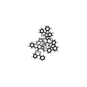 O=C(OC(c1ccccc1)c1ccccc1)C1=C(Sc2cccnc2CSC2CCNC2)CC[C@@H]2[C@H](NC(=O)/C(=N\OC(c3ccccc3)(c3ccccc3)c3ccccc3)c3nc(NC(c4ccccc4)(c4ccccc4)c4ccccc4)sc3Cl)C(=O)N12